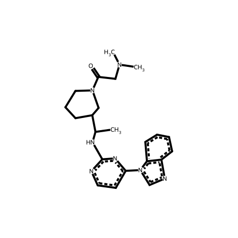 CC(Nc1nccc(-n2cnc3ccccc32)n1)C1CCCN(C(=O)CN(C)C)C1